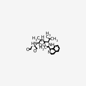 C=C(N[C@H](C(=O)N[C@@H](C)C(=O)N[C@H](C=O)CC=O)C(C)C)c1nccc2ccccc12